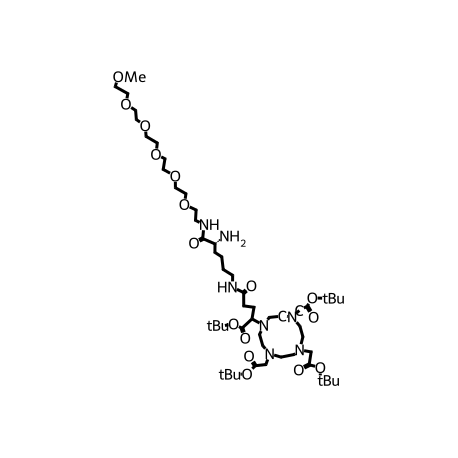 COCCOCCOCCOCCOCCOCCNC(=O)[C@H](N)CCCCNC(=O)CCC(C(=O)OC(C)(C)C)N1CCN(CC(=O)OC(C)(C)C)CCN(CC(=O)OC(C)(C)C)CCN(CC(=O)OC(C)(C)C)CC1